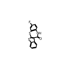 O=C1Nc2ccc(F)cc2Sc2sc3ccccc3c21